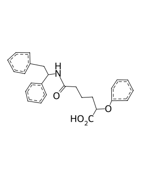 O=C(CCCC(Oc1ccccc1)C(=O)O)NC(Cc1ccccc1)c1ccccc1